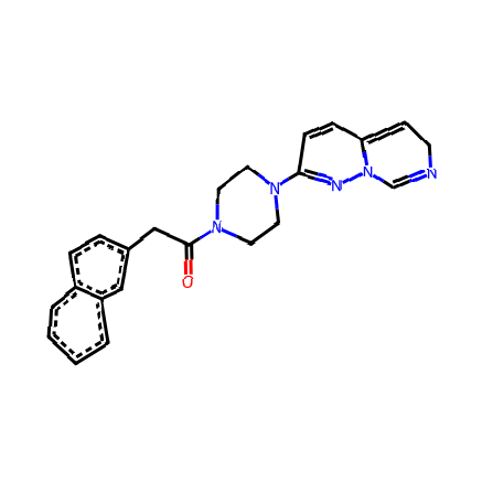 O=C(Cc1ccc2ccccc2c1)N1CCN(C2=NN3C=NCC=C3C=C2)CC1